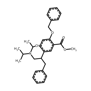 COC(=O)c1cc(C(Cc2ccccc2)CN(C(C)C)C(C)C)ccc1OCc1ccccc1